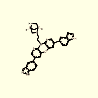 c1cc2[nH]ncc2cc1-c1cnc2c(c1)Oc1cc(-c3ccc4[nH]ncc4c3)cnc1N2CCN1C[C@@H]2C[C@H]1CN2